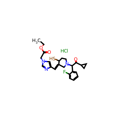 CCOC(=O)Cn1cnc(C=C2CN(C(C(=O)C3CC3)c3ccccc3F)CCC2S)c1.Cl